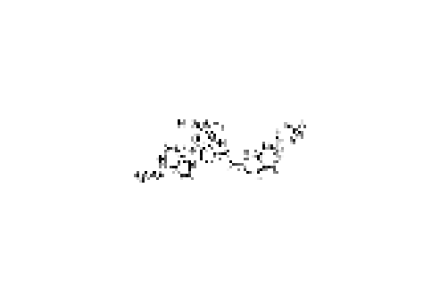 COc1ncnc2c1ccn2[C@@H]1C[C@H](CCc2ccc3ccc(NCC(F)(F)F)nc3c2)[C@H]2OC(C)(C)O[C@H]21